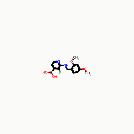 COc1ccc(CNc2nccc(B(O)O)c2F)c(OC)c1